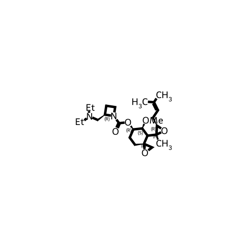 CCN(CC)C[C@H]1CCN1C(=O)O[C@@H]1CC[C@]2(CO2)C([C@@]2(C)O[C@@H]2CC=C(C)C)[C@@H]1OC